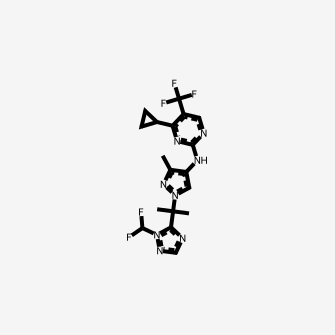 Cc1nn(C(C)(C)c2ncnn2C(F)F)cc1Nc1ncc(C(F)(F)F)c(C2CC2)n1